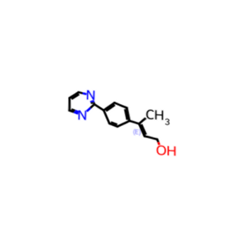 C/C(=C\CO)c1ccc(-c2ncccn2)cc1